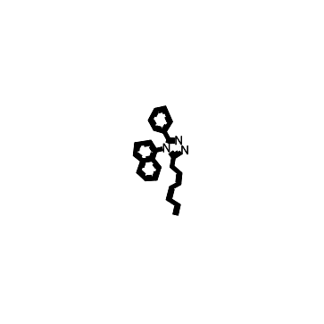 C=C/C=C\C=C/Cc1nnc(-c2ccccc2)n1-c1cccc2ccccc12